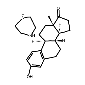 C1CNCCN1.C[C@]12CC[C@@H]3c4ccc(O)cc4CC[C@H]3[C@@H]1CCC2=O